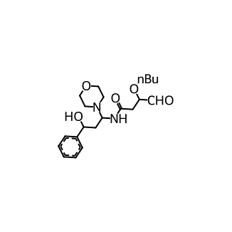 CCCCOC(C=O)CC(=O)NC(CC(O)c1ccccc1)N1CCOCC1